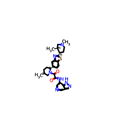 C[C@H]1CC[C@H](c2ccc3sc([C@H]4CCN(C)C[C@@H]4C)nc3c2)N(C(=O)C(=O)Nc2cncc3cn[nH]c23)C1